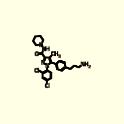 Cc1c(C(=O)NN2CCCCC2)nn(-c2ccc(Cl)cc2Cl)c1-c1ccc(CCCN)cc1